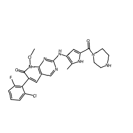 COn1c(=O)c(-c2c(F)cccc2Cl)cc2cnc(Nc3cc(C(=O)N4CCNCC4)[nH]c3C)nc21